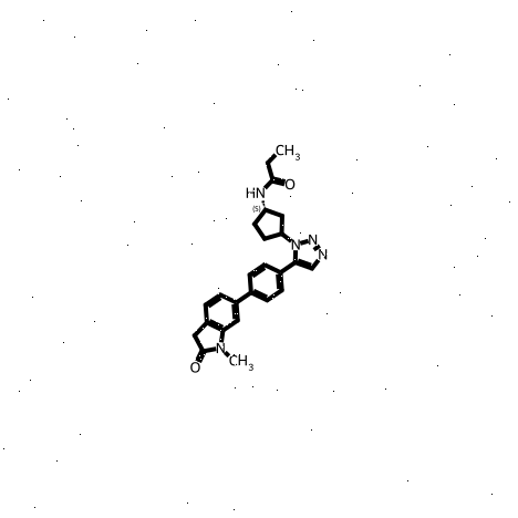 CCC(=O)N[C@H]1CCC(n2nncc2-c2ccc(-c3ccc4c(c3)N(C)C(=O)C4)cc2)C1